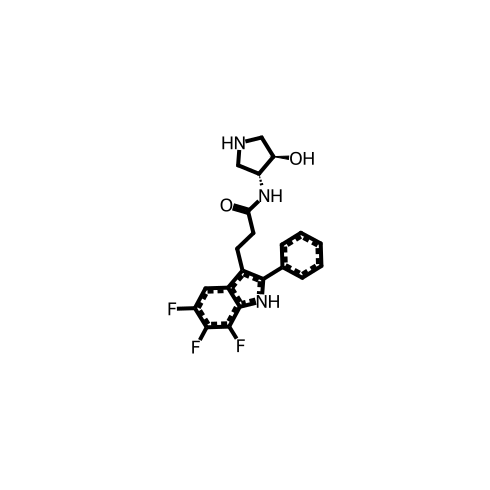 O=C(CCc1c(-c2ccccc2)[nH]c2c(F)c(F)c(F)cc12)N[C@@H]1CNC[C@H]1O